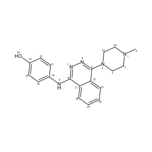 CN1CCN(c2nnc(Nc3ccc(O)cc3)c3ccccc23)CC1